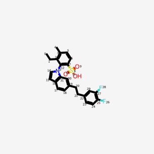 CCc1c(C)ccc(S(=O)(=O)O)c1-n1ccc2ccc(CCc3ccc(F)c(F)c3)cc21